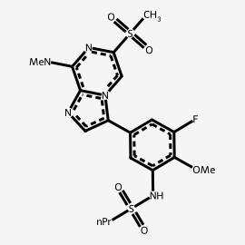 CCCS(=O)(=O)Nc1cc(-c2cnc3c(NC)nc(S(C)(=O)=O)cn23)cc(F)c1OC